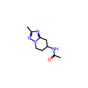 CC(=O)NC1CCn2nc(C)nc2C1